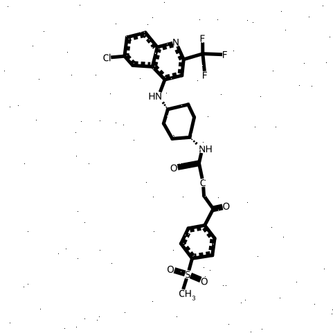 CS(=O)(=O)c1ccc(C(=O)CCC(=O)N[C@H]2CC[C@@H](Nc3cc(C(F)(F)F)nc4ccc(Cl)cc34)CC2)cc1